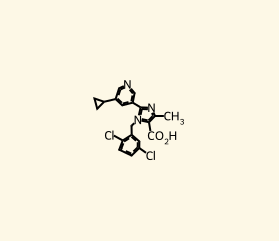 Cc1nc(-c2cncc(C3CC3)c2)n(Cc2cc(Cl)ccc2Cl)c1C(=O)O